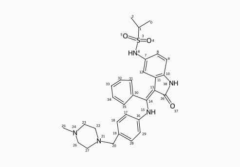 CC(C)S(=O)(=O)Nc1ccc2c(c1)/C(=C(/Nc1ccc(CN3CCN(C)CC3)cc1)c1ccccc1)C(=O)N2